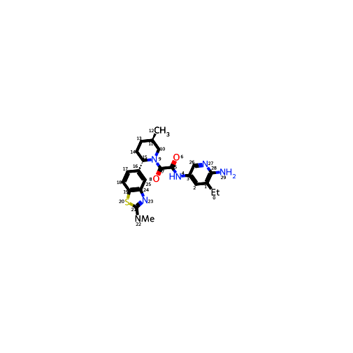 CCc1cc(NC(=O)C(=O)N2C[C@H](C)CC[C@H]2c2ccc3sc(NC)nc3c2)cnc1N